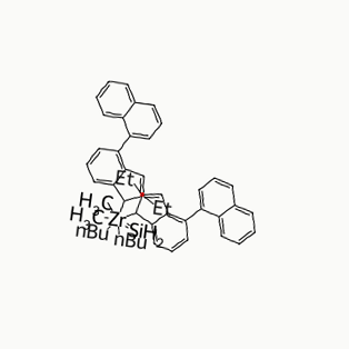 CCC[CH2][Zr]([CH3])([CH3])(=[SiH2])([CH2]CCC)([CH]1C(CC)=Cc2c(-c3cccc4ccccc34)cccc21)[CH]1C(CC)=Cc2c(-c3cccc4ccccc34)cccc21